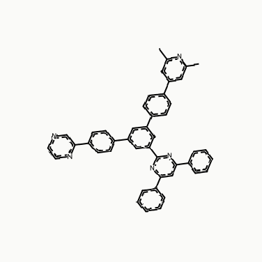 Cc1cc(-c2ccc(-c3cc(-c4ccc(-c5cnccn5)cc4)cc(-c4nc(-c5ccccc5)cc(-c5ccccc5)n4)c3)cc2)cc(C)n1